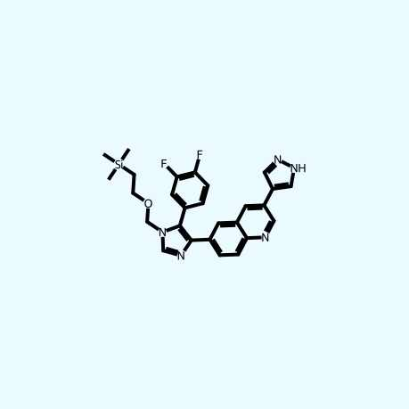 C[Si](C)(C)CCOCn1cnc(-c2ccc3ncc(-c4cn[nH]c4)cc3c2)c1-c1ccc(F)c(F)c1